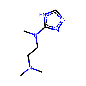 CN(C)CCN(C)c1nnc[nH]1